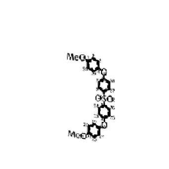 COc1ccc(Oc2ccc(S(=O)(=O)c3ccc(Oc4ccc(OC)cc4)cc3)cc2)cc1